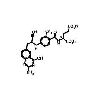 C#CC(Cc1ccc2nc(N)nc(O)c2c1)Nc1ccc(C(=O)N[C@@H](CCC(=O)O)C(=O)O)c(C)c1